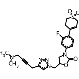 CN(C)CC#CCc1cn(CC2CN(c3ccc(C4=CCS(=O)(=O)CC4)c(F)c3)C(=O)O2)nn1